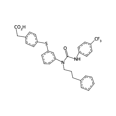 O=C(O)Cc1ccc(Sc2cccc(N(CCCc3ccccc3)C(=O)Nc3ccc(C(F)(F)F)cc3)c2)cc1